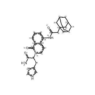 NC(=O)C(Cc1c[nH]cn1)n1ccc2c(NC(=O)CC34CC5CC(CC(C5)C3)C4)cccc2c1=O